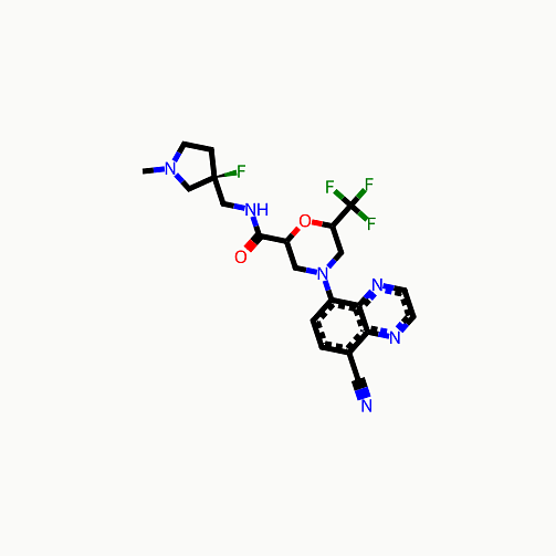 CN1CC[C@](F)(CNC(=O)C2CN(c3ccc(C#N)c4nccnc34)CC(C(F)(F)F)O2)C1